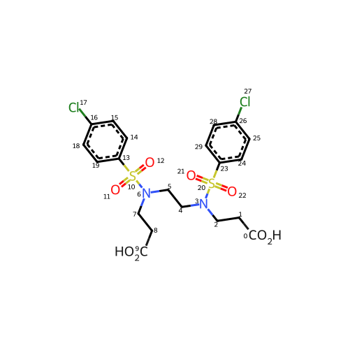 O=C(O)CCN(CCN(CCC(=O)O)S(=O)(=O)c1ccc(Cl)cc1)S(=O)(=O)c1ccc(Cl)cc1